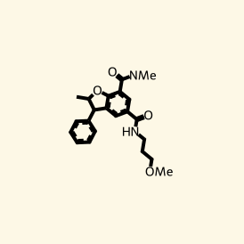 CNC(=O)c1cc(C(=O)NCCCOC)cc2c1OC(C)C2c1ccccc1